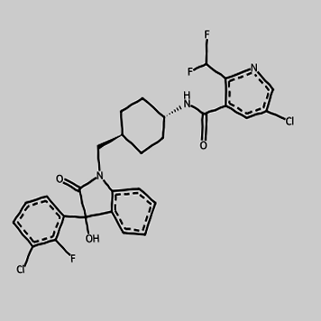 O=C(N[C@H]1CC[C@H](CN2C(=O)C(O)(c3cccc(Cl)c3F)c3ccccc32)CC1)c1cc(Cl)cnc1C(F)F